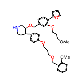 COCCCOc1cc(COC2CNCCC2c2ccc(OCCCOCc3ccccc3OC)cc2)ccc1-c1ccco1